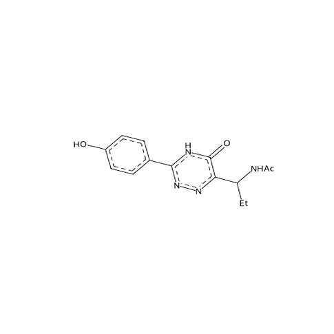 CCC(NC(C)=O)c1nnc(-c2ccc(O)cc2)[nH]c1=O